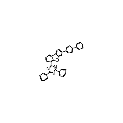 c1ccc(-c2ccc(-c3ccc4c(c3)oc3c(-c5nc(-c6ccccc6)nc(-c6ccccc6)n5)cccc34)cc2)cc1